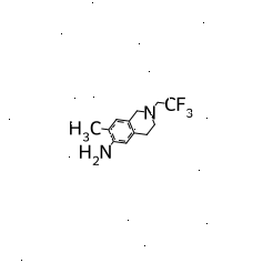 Cc1cc2c(cc1N)CCN(CC(F)(F)F)C2